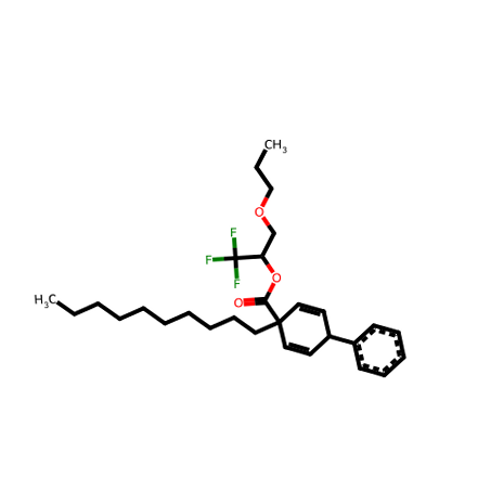 CCCCCCCCCCC1(C(=O)OC(COCCC)C(F)(F)F)C=CC(c2ccccc2)C=C1